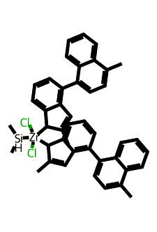 CC1=Cc2c(-c3ccc(C)c4ccccc34)cccc2[CH]1[Zr]([Cl])([Cl])([CH]1C(C)=Cc2c(-c3ccc(C)c4ccccc34)cccc21)[SiH](C)C